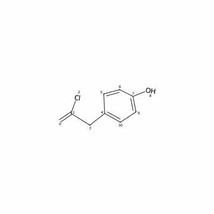 C=C(Cl)Cc1ccc(O)cc1